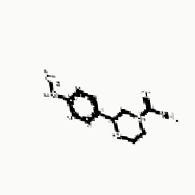 NC(=O)N1CCSC(c2ccc(OC(F)(F)F)cc2)C1